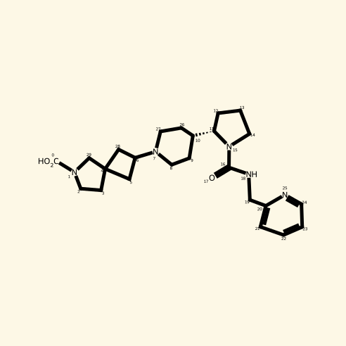 O=C(O)N1CCC2(CC(N3CCC([C@@H]4CCCN4C(=O)NCc4ccccn4)CC3)C2)C1